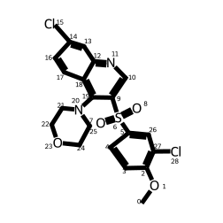 COc1ccc(S(=O)(=O)c2cnc3cc(Cl)ccc3c2N2CCOCC2)cc1Cl